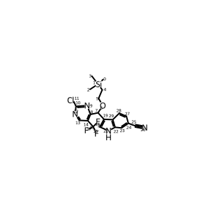 C[Si](C)(C)CCOC(c1nc(Cl)ncc1C(F)(F)F)c1c[nH]c2cc(C#N)ccc12